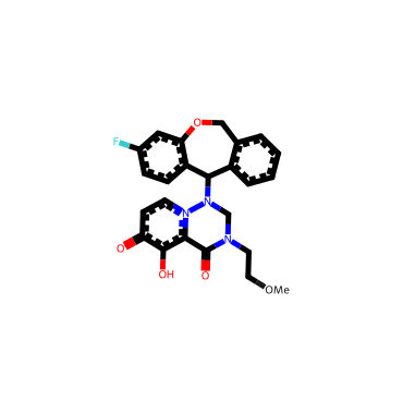 COCCN1CN(C2c3ccccc3COc3cc(F)ccc32)n2ccc(=O)c(O)c2C1=O